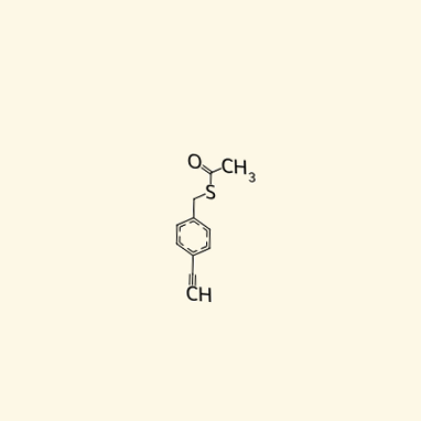 C#Cc1ccc(CSC(C)=O)cc1